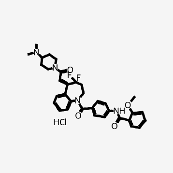 COc1ccccc1C(=O)Nc1ccc(C(=O)N2CCC(F)(F)C(=CC(=O)N3CCC(N(C)C)CC3)c3ccccc32)cc1.Cl